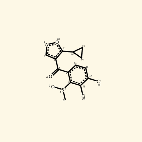 C[S+]([O-])c1c(C(=O)c2cnoc2C2CC2)ccc(Cl)c1Cl